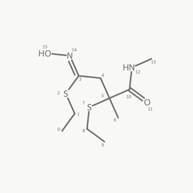 CCS/C(CC(C)(SCC)C(=O)NC)=N\O